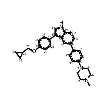 CN1CCN(c2ccc(-c3cnc4[nH]cc(-c5ccc(OCC6CC6)cc5)c4c3)cc2)CC1